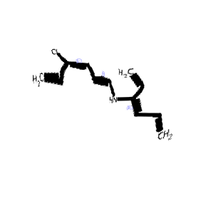 C=C/C=C(\C=C)N/C=C/C=C(/Cl)C=C